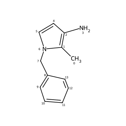 Cc1c(N)ccn1Cc1ccccc1